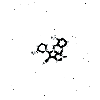 Cn1cnc2c(C#N)c(N3CCC[C@H](N)C3)n(Cc3ccccc3N)c2c1=O